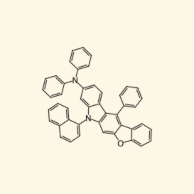 c1ccc(-c2c3c(cc4c2c2ccc(N(c5ccccc5)c5ccccc5)cc2n4-c2cccc4ccccc24)oc2ccccc23)cc1